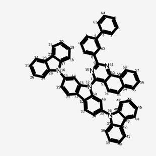 c1ccc(-c2cccc(-c3nc(-n4c5cc(-n6c7ccccc7c7ccccc76)ccc5c5ccc(-n6c7ccccc7c7ccccc76)cc54)c4ccc5ccccc5c4n3)c2)cc1